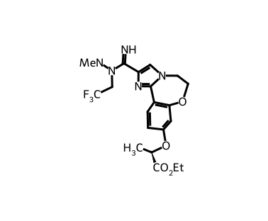 CCOC(=O)[C@@H](C)Oc1ccc2c(c1)OCCn1cc(C(=N)N(CC(F)(F)F)NC)nc1-2